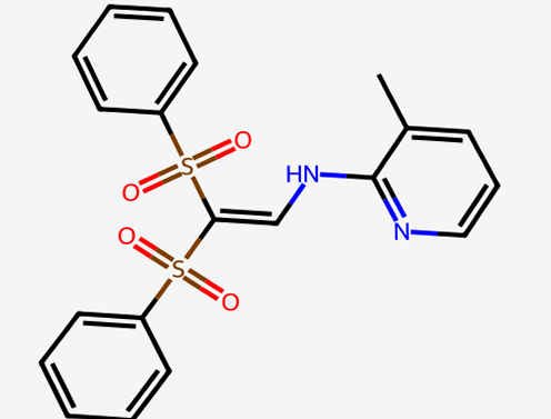 Cc1cccnc1NC=C(S(=O)(=O)c1ccccc1)S(=O)(=O)c1ccccc1